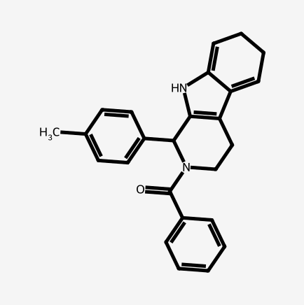 Cc1ccc(C2c3[nH]c4c(c3CCN2C(=O)c2ccccc2)=CCCC=4)cc1